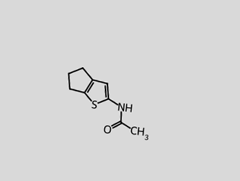 CC(=O)Nc1cc2c(s1)CCC2